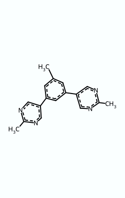 Cc1cc(-c2cnc(C)nc2)cc(-c2cnc(C)nc2)c1